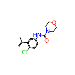 C=C(C)c1cc(NC(=O)N2CCOCC2)ccc1Cl